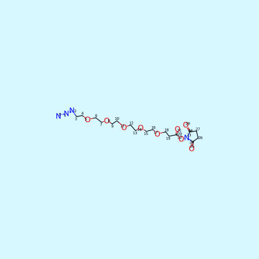 [N-]=[N+]=NCCOCCOCCOCCOCCOCCC(=O)ON1C(=O)CCC1=O